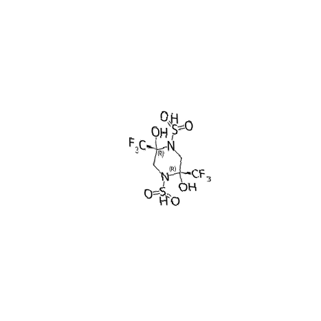 O=[SH](=O)N1C[C@@](O)(C(F)(F)F)N([SH](=O)=O)C[C@@]1(O)C(F)(F)F